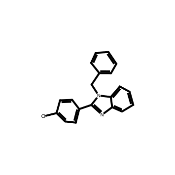 Clc1ccc(-c2nc3ccccc3n2Cc2ccccc2)cc1